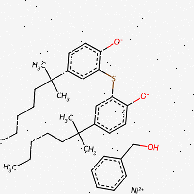 CCCCCC(C)(C)c1ccc([O-])c(Sc2cc(C(C)(C)CCCCC)ccc2[O-])c1.OCc1ccccc1.[Ni+2]